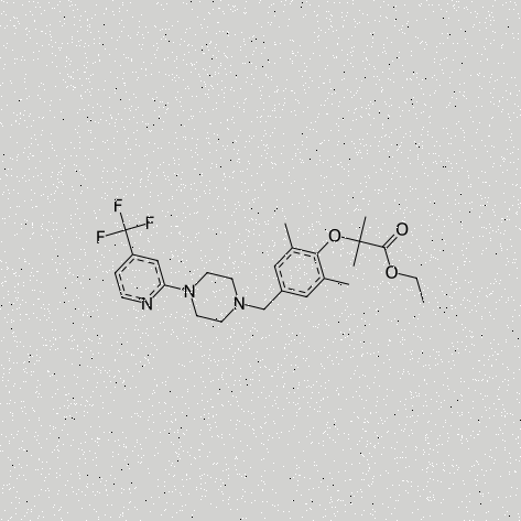 CCOC(=O)C(C)(C)Oc1c(C)cc(CN2CCN(c3cc(C(F)(F)F)ccn3)CC2)cc1C